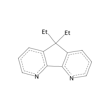 CCC1(CC)c2cccnc2-c2ncccc21